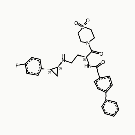 O=C(N[C@@H](CCN[C@H]1C[C@@H]1c1ccc(F)cc1)C(=O)N1CCS(=O)(=O)CC1)c1ccc(-c2ccccc2)cc1